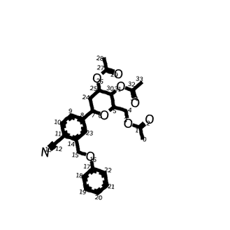 CC(=O)OCC1OC(c2ccc(C#N)c(COc3ccccc3)c2)CC(OC(C)=O)C1OC(C)=O